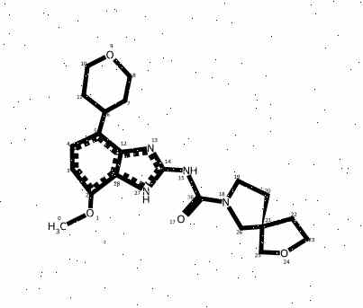 COc1ccc(C2CCOCC2)c2nc(NC(=O)N3CC[C@]4(CCOC4)C3)[nH]c12